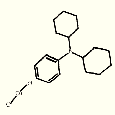 [Cl][Co][Cl].c1ccc(P(C2CCCCC2)C2CCCCC2)cc1